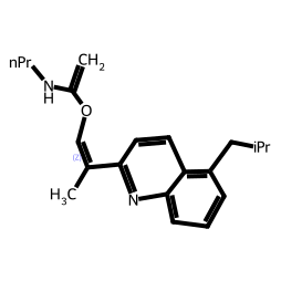 C=C(NCCC)O/C=C(/C)c1ccc2c(CC(C)C)cccc2n1